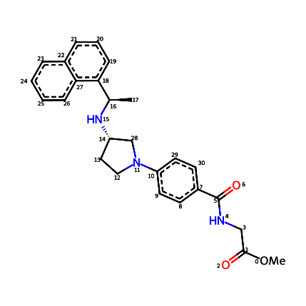 COC(=O)CNC(=O)c1ccc(N2CC[C@H](N[C@H](C)c3cccc4ccccc34)C2)cc1